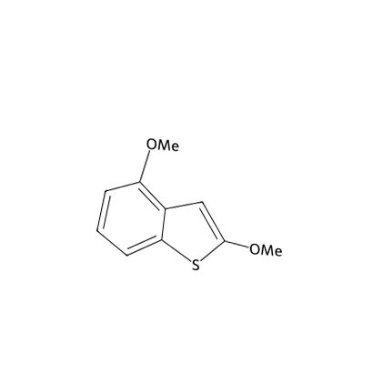 COc1cc2c(OC)cccc2s1